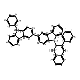 c1ccc(C2=Nc3ccccc3NC2n2c3ccccc3c3cc(-c4ccc5c(c4)c4ccccc4n5-c4ccccc4)ccc32)cc1